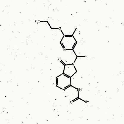 Cc1cc(C(C)N2Cc3c(ccnc3NC(=O)C(C)C)C2=O)ncc1OCCC(F)(F)F